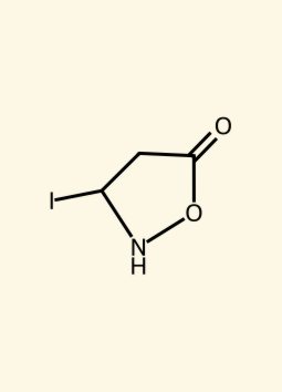 O=C1CC(I)NO1